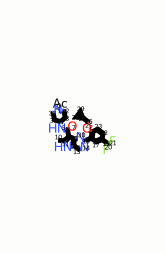 CC(=O)N1CCC(NC(=O)c2c(C)[nH]c3cnc(-c4cc(C(F)F)ccc4OCC4CC4)nc23)CC1